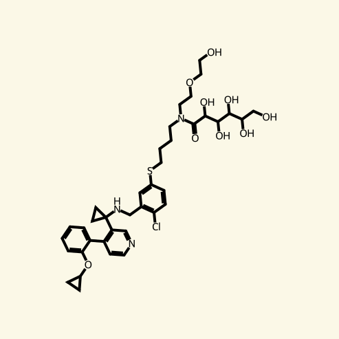 O=C(C(O)C(O)C(O)C(O)CO)N(CCCCSc1ccc(Cl)c(CNC2(c3cnccc3-c3ccccc3OC3CC3)CC2)c1)CCOCCO